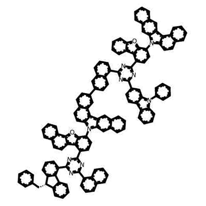 c1ccc(C[C@H]2c3ccccc3-c3c(-c4nc(-c5cccc6ccccc56)nc(-c5ccc(-n6c7cc8ccccc8cc7c7c8cc(-c9ccc%10c(-c%11nc(-c%12ccc%13c%14ccccc%14n(-c%14ccccc%14)c%13c%12)nc(-c%12ccc(-n%13c%14cc%15ccccc%15cc%14c%14c%15ccccc%15ccc%14%13)c%13oc%14ccccc%14c%12%13)n%11)cccc%10c9)ccc8ccc76)c6oc7c8ccccc8ccc7c56)n4)cccc32)cc1